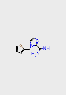 N=C(N)c1nccn1Cc1cccs1